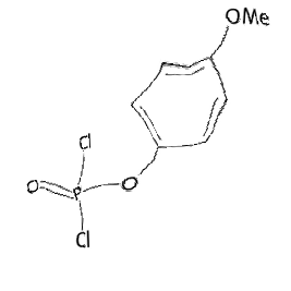 COc1ccc(OP(=O)(Cl)Cl)cc1